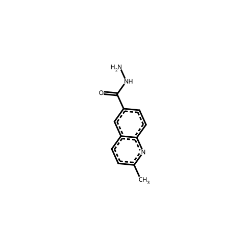 Cc1ccc2cc(C(=O)NN)ccc2n1